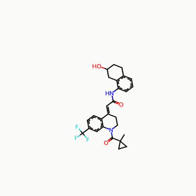 CC1(C(=O)N2CCC(=CC(=O)Nc3cccc4c3CC(O)CC4)c3ccc(C(F)(F)F)cc32)CC1